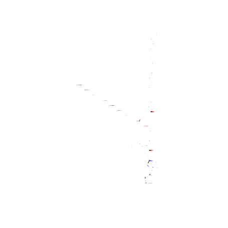 CCCCCCCCCCCCCCCCC(=O)OCC(CSCC(N)C(=O)Nc1cn([C@H]2OC(CO)[C@@H](O)[C@@H]2O)nn1)OC(=O)CCCCCCCCCCCCCCCC